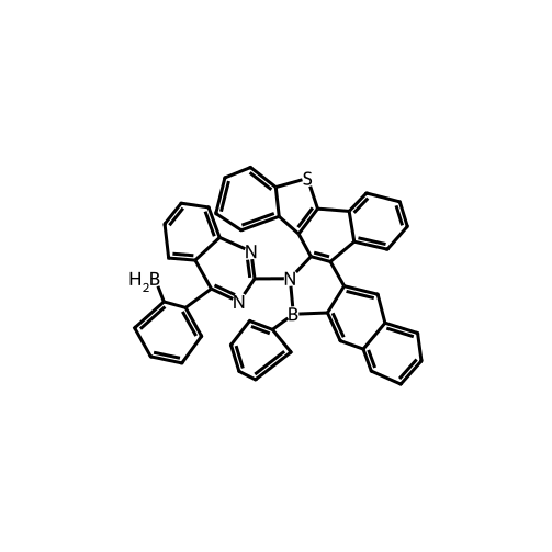 Bc1ccccc1-c1nc(N2B(c3ccccc3)c3cc4ccccc4cc3-c3c2c2c4ccccc4sc2c2ccccc32)nc2ccccc12